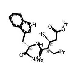 CNC(=O)[C@H](Cc1c[nH]c2ccccc12)NC(=O)[C@H](CC(C)C)[C@@H](S)CC(=O)OC(C)C